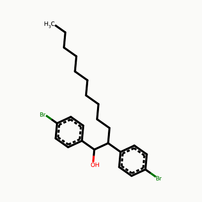 CCCCCCCCCCC(c1ccc(Br)cc1)C(O)c1ccc(Br)cc1